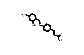 Nc1ccc(COc2ccc(C=CC(=O)O)cc2)c(N)c1